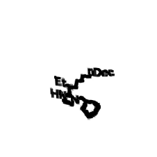 CCCCCCCCCCCCCCC[C@H](CC)c1[nH]cc[n+]1Cc1ccccc1